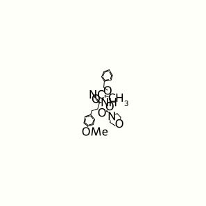 COc1ccc(CC(OC(=O)N2CCOCC2)C(=O)NC(C)(C#N)OCc2ccccc2)cc1